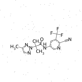 Cc1cnn(C(C)(C)C(=O)Nc2cnc(C#N)c(C(F)(F)F)c2)n1